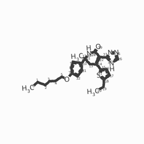 CCCCCCOc1ccc([C@]2(C)CC(c3ccc(CC)s3)=C(c3nnc[nH]3)C(=O)N2)cc1